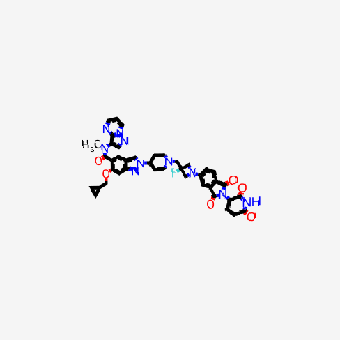 CN(C(=O)c1cc2cn(C3CCN(CC4(F)CN(c5ccc6c(c5)C(=O)N(C5CCC(=O)NC5=O)C6=O)C4)CC3)nc2cc1OCC1CC1)c1cnn2cccnc12